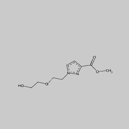 COC(=O)c1ccn(CCOCCO)n1